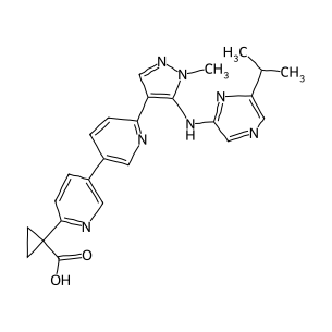 CC(C)c1cncc(Nc2c(-c3ccc(-c4ccc(C5(C(=O)O)CC5)nc4)cn3)cnn2C)n1